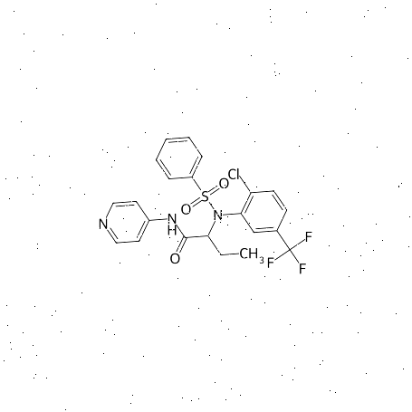 CCC(C(=O)Nc1ccncc1)N(c1cc(C(F)(F)F)ccc1Cl)S(=O)(=O)c1ccccc1